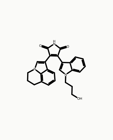 O=C1NC(=O)C(c2cn3c4c(cccc24)CCC3)=C1c1cn(CCCO)c2ccccc12